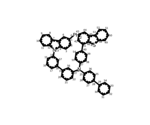 Pc1ccc2c(c1)c1ccccc1n2-c1cccc(-c2cccc(N(c3ccc(-c4ccccc4)cc3)c3ccc(-c4cccc5c4sc4ccccc45)cc3)c2)c1